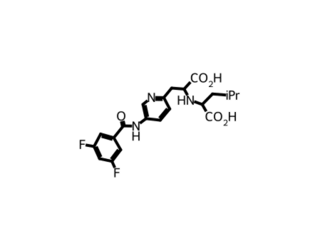 CC(C)CC(NC(Cc1ccc(NC(=O)c2cc(F)cc(F)c2)cn1)C(=O)O)C(=O)O